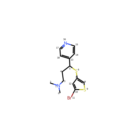 CN(C)CCC(Sc1csc(Br)c1)c1ccncc1